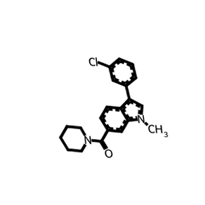 Cn1cc(-c2cccc(Cl)c2)c2ccc(C(=O)N3CCCCC3)cc21